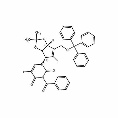 CC1(C)OC2[C@H](O1)C(COC(c1ccccc1)(c1ccccc1)c1ccccc1)=C(F)[C@H]2n1cc(I)c(=O)n(C(=O)c2ccccc2)c1=O